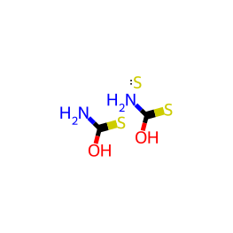 NC(O)=S.NC(O)=S.[S]